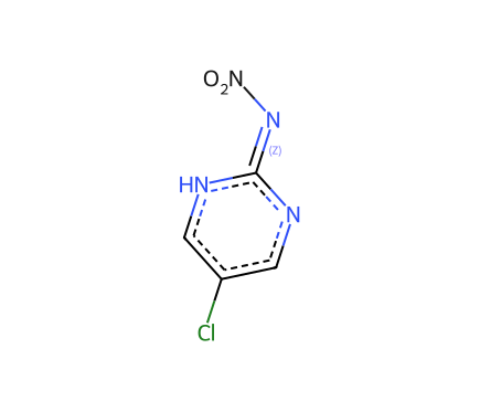 O=[N+]([O-])/N=c1/ncc(Cl)c[nH]1